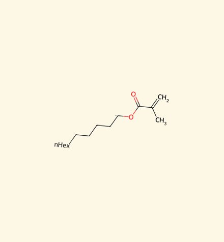 [CH2]CCCCCCCCC[CH]OC(=O)C(=C)C